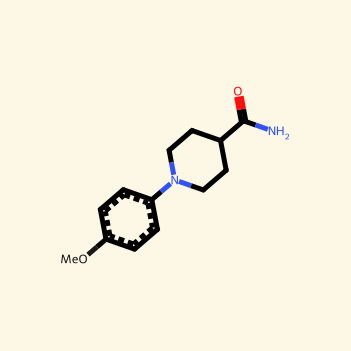 COc1ccc(N2CCC(C(N)=O)CC2)cc1